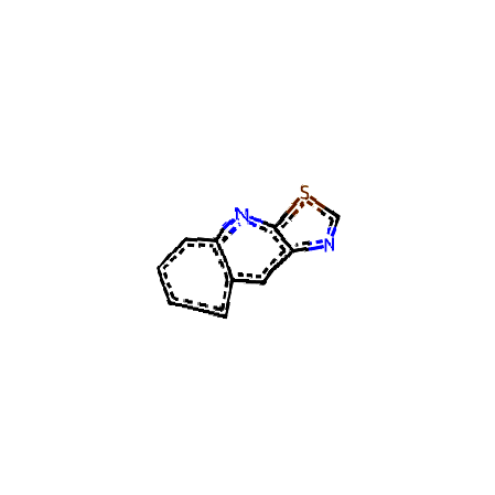 c1ccc2nc3scnc3cc2c1